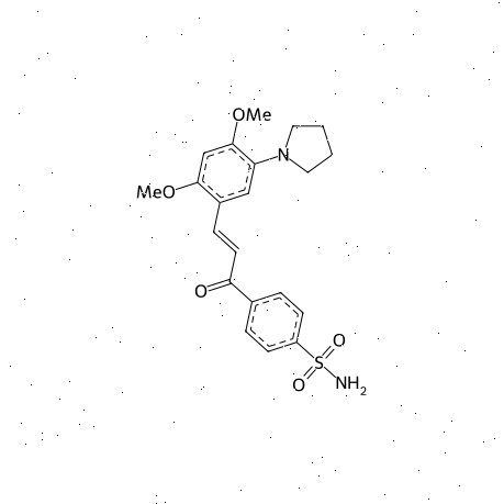 COc1cc(OC)c(N2CCCC2)cc1C=CC(=O)c1ccc(S(N)(=O)=O)cc1